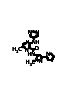 Cc1cnc(Nc2cncnc2)c(C(=O)Nc2cc(-c3ccccn3)nn2C)n1